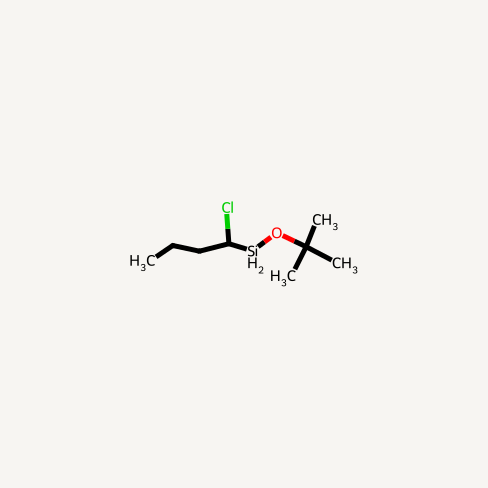 CCCC(Cl)[SiH2]OC(C)(C)C